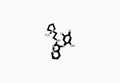 C[N+]1(CCNc2nn3ccccc3c2/N=C2\C=C(Cl)C(=O)C=C2O)CCCC1